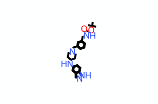 CC(C)(C)OC(=O)NCc1cccc(CN2CCC(Nc3ccc4[nH]ncc4c3)CC2)c1